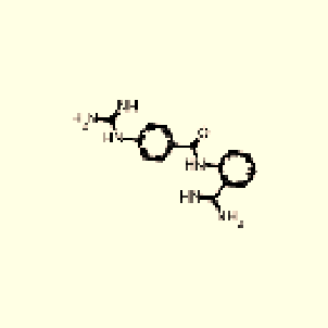 N=C(N)Nc1ccc(C(=O)Nc2ccccc2C(=N)N)cc1